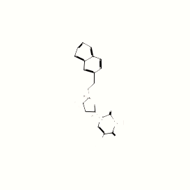 Cc1cn([C@H]2C[C@H](S)[C@@H](CCc3ccc4ccccc4c3)O2)c(=O)[nH]c1=O